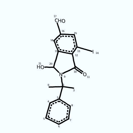 CC(C)(c1ccccc1)N1C(=O)c2c(I)cc(C=O)cc2C1O